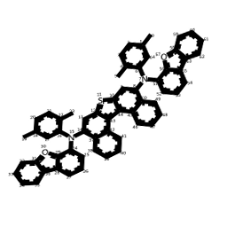 Cc1ccc(C)c(N(c2cc3sc4cc(N(c5cc(C)ccc5C)c5cccc6c5oc5ccccc56)c5ccccc5c4c3c3ccccc23)c2cccc3c2oc2ccccc23)c1